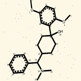 COc1ccc(OC)c(C2(O)CCC(C(c3ccccc3)N(C)C)CC2)c1